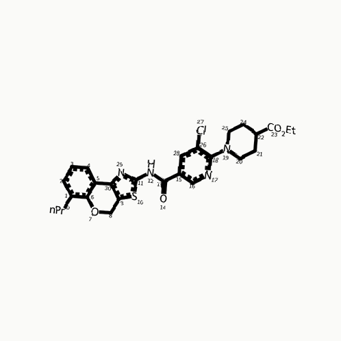 CCCc1cccc2c1OCc1sc(NC(=O)c3cnc(N4CCC(C(=O)OCC)CC4)c(Cl)c3)nc1-2